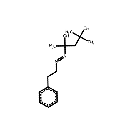 CC(C)(O)CC(C)(O)N=NCCc1ccccc1